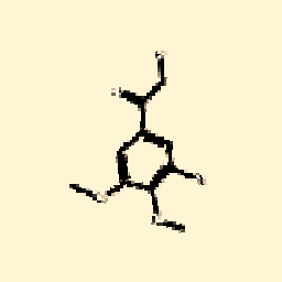 COc1cc(C(=O)CBr)cc(Br)c1OC